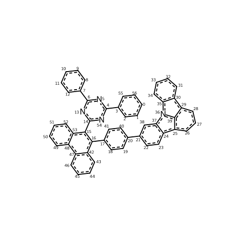 c1ccc(-c2nc(-c3ccccc3)nc(-c3c(-c4ccc(-c5ccc6c7cccc8c9ccccc9n(c6c5)c87)cc4)c4ccccc4c4ccccc34)n2)cc1